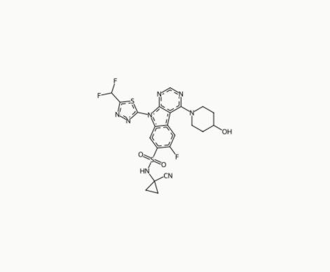 N#CC1(NS(=O)(=O)c2cc3c(cc2F)c2c(N4CCC(O)CC4)ncnc2n3-c2nnc(C(F)F)s2)CC1